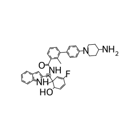 Cc1c(C(=O)N[C@@H](c2cc3ccccc3[nH]2)C2(C)C=C(F)C=CC2O)cccc1-c1ccc(N2CCC(N)CC2)cc1